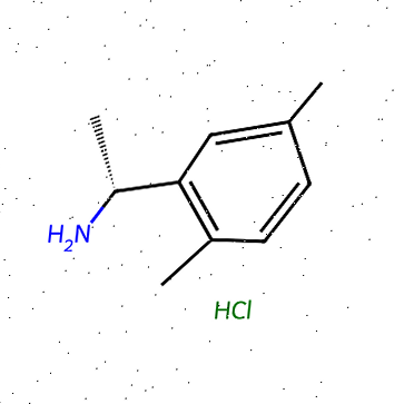 Cc1ccc(C)c([C@@H](C)N)c1.Cl